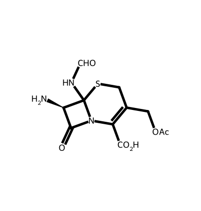 CC(=O)OCC1=C(C(=O)O)N2C(=O)[C@@H](N)C2(NC=O)SC1